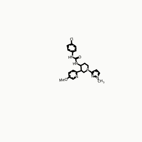 COc1ccc(C2CN(c3ccn(C)n3)CCC2NC(=O)Nc2ccc(Cl)cc2)nc1